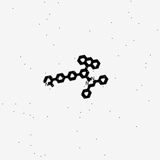 Cc1ncccc1-c1ccc(-c2ccc(-c3cc(-c4nc(-c5ccccc5)cc(-c5ccccc5)n4)cc(-c4c5ccccc5cc5ccccc45)c3)cc2)cc1